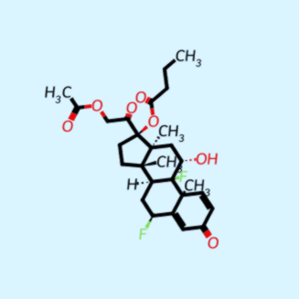 CCCC(=O)O[C@]1(C(=O)COC(C)=O)CC[C@@]2(C)[C@@H]3C[C@H](F)C4=CC(=O)C=C[C@]4(C)[C@@]3(F)[C@@H](O)C[C@]12C